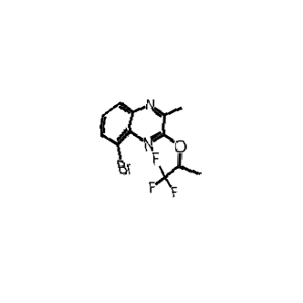 Cc1nc2cccc(Br)c2nc1OC(C)C(F)(F)F